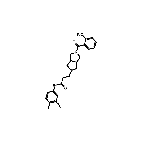 Cc1ccc(NC(=O)CCN2CC3CN(C(=O)c4ccccc4C(F)(F)F)CC3C2)cc1Cl